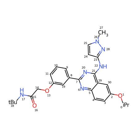 CC(C)Oc1ccc2nc(-c3cccc(OCC(=O)NC(C)(C)C)c3)nc(Nc3ccn(C)n3)c2c1